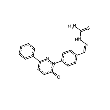 NC(=S)N/N=C\c1ccc(-n2nc(-c3ccccc3)ccc2=O)cc1